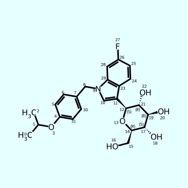 CC(C)Oc1ccc(Cn2cc([C@@H]3O[C@H](CO)[C@@H](O)[C@H](O)[C@H]3O)c3ccc(F)cc32)cc1